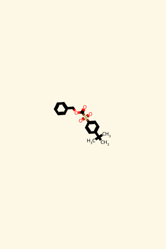 CC(C)(C)c1ccc(S(=O)(=O)C(=O)OCc2ccccc2)cc1